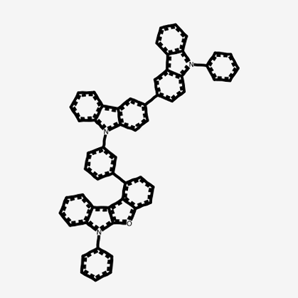 c1ccc(-n2c3ccccc3c3cc(-c4ccc5c(c4)c4ccccc4n5-c4cccc(-c5cccc6oc7c(c8ccccc8n7-c7ccccc7)c56)c4)ccc32)cc1